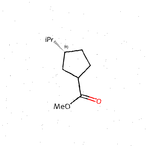 COC(=O)C1CC[C@@H](C(C)C)C1